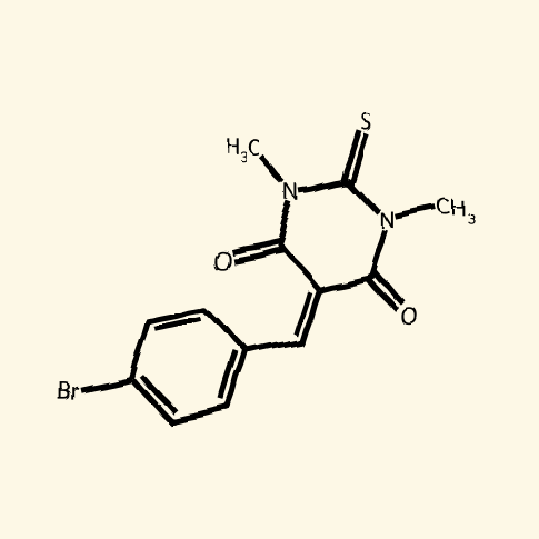 CN1C(=O)C(=Cc2ccc(Br)cc2)C(=O)N(C)C1=S